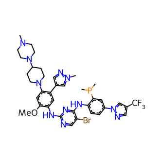 COc1cc(N2CCC(N3CCN(C)CC3)CC2)c(-c2cnn(C)c2)cc1Nc1ncc(Br)c(Nc2ccc(-n3cc(C(F)(F)F)cn3)cc2P(C)C)n1